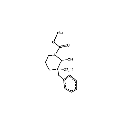 CCOC(=O)C1(Cc2ccccc2)CCCN(C(=O)OC(C)(C)C)C1O